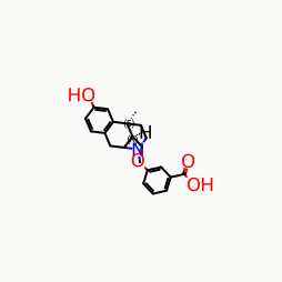 CN1CC[C@]2(C)c3cc(O)ccc3CC1[C@@H]2COc1cccc(C(=O)O)c1